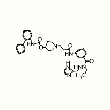 CCN(NCc1ncc[nH]1)C(=O)c1cccc(NC(=O)CCN2CCC(OC(=O)Nc3ccccc3-c3ccccc3)CC2)c1